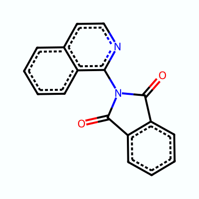 O=C1c2ccccc2C(=O)N1c1nccc2ccccc12